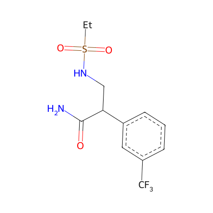 CCS(=O)(=O)NCC(C(N)=O)c1cccc(C(F)(F)F)c1